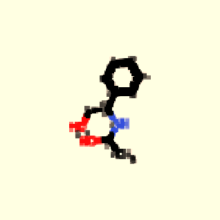 CC(O)N[C@H](CO)c1ccccc1